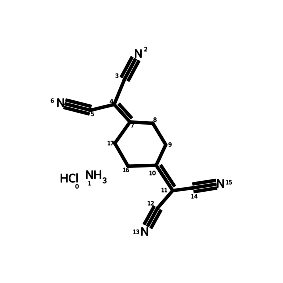 Cl.N.N#CC(C#N)=C1CCC(=C(C#N)C#N)CC1